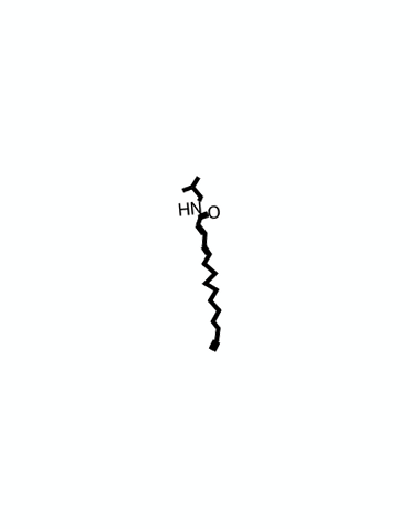 C#CCCCCCCCCC=CC=CC(=O)NCC(C)C